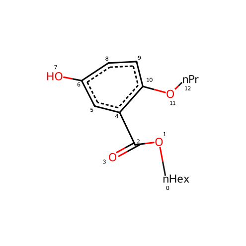 CCCCCCOC(=O)c1cc(O)ccc1OCCC